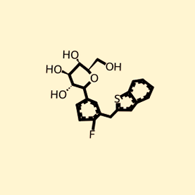 OC[C@H]1OC(c2ccc(F)c(Cc3cc4ccccc4s3)c2)[C@H](O)[C@@H](O)[C@@H]1O